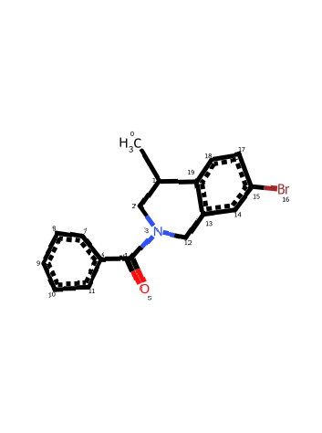 CC1CN(C(=O)c2ccccc2)Cc2cc(Br)ccc21